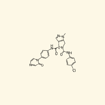 Cn1ncc2c1CN(C(=O)Nc1ccc(Cl)cc1)[C@H]2C(=O)Nc1ccc(-n2ccncc2=O)cc1